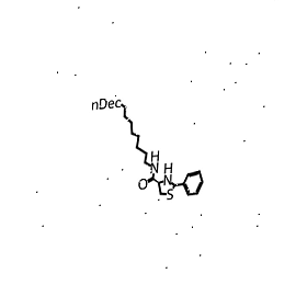 CCCCCCCCCCCCCCCCCCNC(=O)[C@@H]1CSC(c2ccccc2)N1